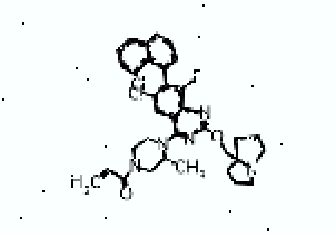 C=CC(=O)N1CCN(c2nc(OCC34CCCN3CCC4)nc3c(F)c(-c4cccc5cccc(Cl)c45)c(Cl)cc23)[C@@H](C)C1